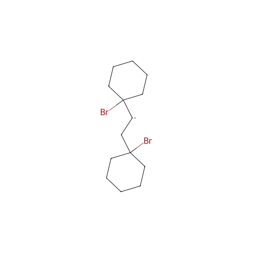 BrC1([CH]CC2(Br)CCCCC2)CCCCC1